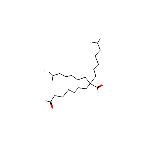 CC(C)CCCCCC(CCCCCCC(=O)O)(CCCCCC(C)C)C(=O)O